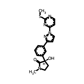 CSc1nccc(-n2ccc(-c3cccc([C@]4(O)CCN(C)C4=O)c3)n2)n1